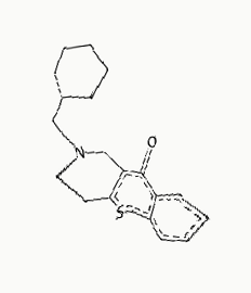 O=c1c2c(sc3ccccc13)CCN(CC1CCCCC1)C2